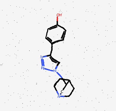 Oc1ccc(-c2cn(C3CN4CCC3CC4)nn2)cc1